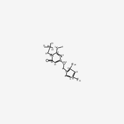 CSc1nc(OCc2ccc(F)cc2F)cc(=O)n1CC(C)(C)C